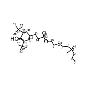 CCCC(C)(C)CCSCCOC(=O)CCc1cc(C(C)(C)C)c(O)c(C(C)(C)C)c1